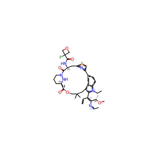 C=C/C(=C(\N=C/C)[C@H](C)OC)c1c2c3cc(ccc3n1CC)-c1csc(n1)C[C@H](NC(=O)C1(F)COC1)C(=O)N1CCC[C@H](N1)C(=O)OCC(C)(C)C2